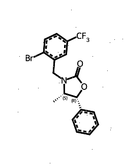 C[C@H]1[C@@H](c2ccccc2)OC(=O)N1Cc1cc(C(F)(F)F)ccc1Br